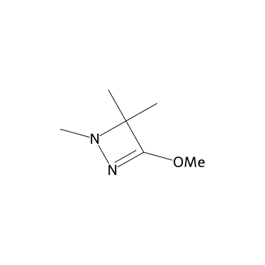 COC1=NN(C)C1(C)C